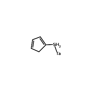 [Ta][SiH2]C1=CC=CC1